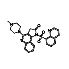 CN1CCN(c2nc3ccccc3c3c2CC(=O)N3S(=O)(=O)c2cccc3cccnc23)CC1